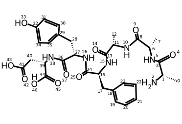 C[C@H](N)C(=O)N[C@@H](C)C(=O)N[C@@H](C)C(=O)N[C@@H](Cc1ccccc1)C(=O)N[C@@H](Cc1ccc(O)cc1)C(=O)N[C@@H](CC(=O)O)C(=O)O